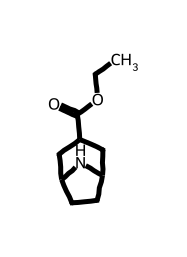 CCOC(=O)C1CC2CCC(C1)N2